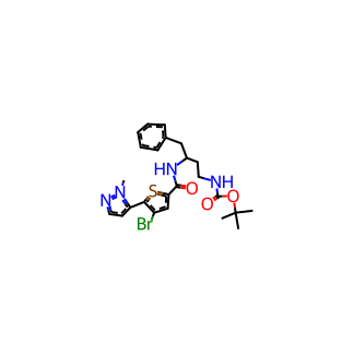 Cn1nccc1-c1sc(C(=O)NC(CCNC(=O)OC(C)(C)C)Cc2ccccc2)cc1Br